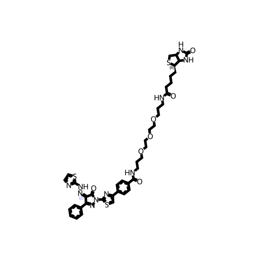 O=C(CCCC[C@H]1SCC2NC(=O)NC21)NCCCOCCOCCOCCCNC(=O)c1ccc(-c2csc(N3N=C(c4ccccc4)/C(=N/Nc4nccs4)C3=O)n2)cc1